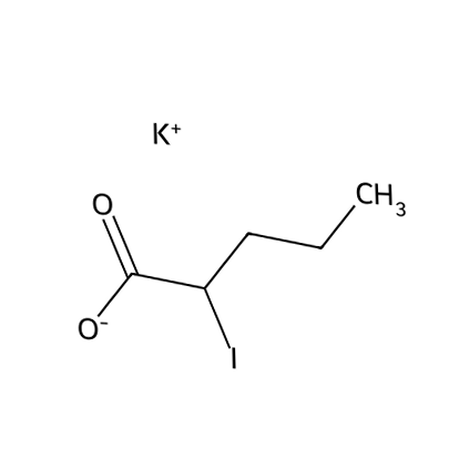 CCCC(I)C(=O)[O-].[K+]